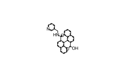 O=C(O)c1ccc2ccccc2c1-c1c(C(=O)NCc2cccnc2)ccc2ccccc12